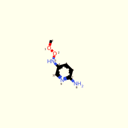 COONc1ccc(N)nc1